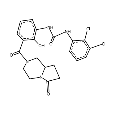 O=C(Nc1cccc(C(=O)N2CCN3C(=O)CCC3C2)c1O)Nc1cccc(Cl)c1Cl